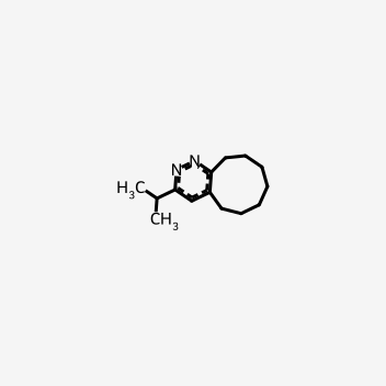 CC(C)c1cc2c(nn1)CCCCCCC2